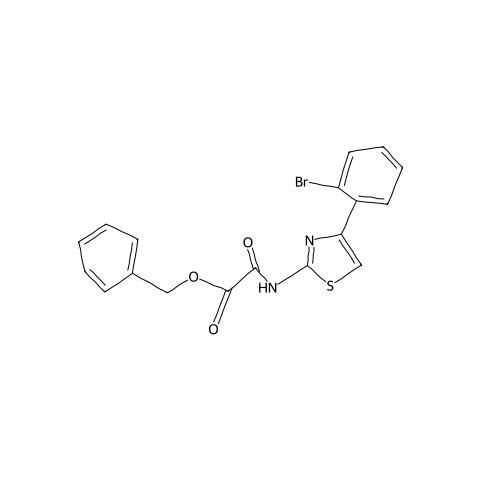 O=C(Nc1nc(-c2ccccc2Br)cs1)C(=O)OCc1ccccc1